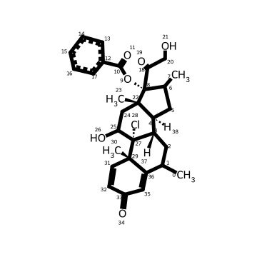 CC1C[C@H]2[C@@H]3CC(C)[C@](OC(=O)c4ccccc4)(C(=O)CO)[C@@]3(C)CC(O)[C@]2(Cl)[C@@]2(C)C=CC(=O)C=C12